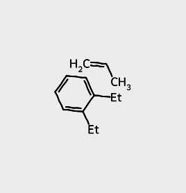 C=CC.CCc1ccccc1CC